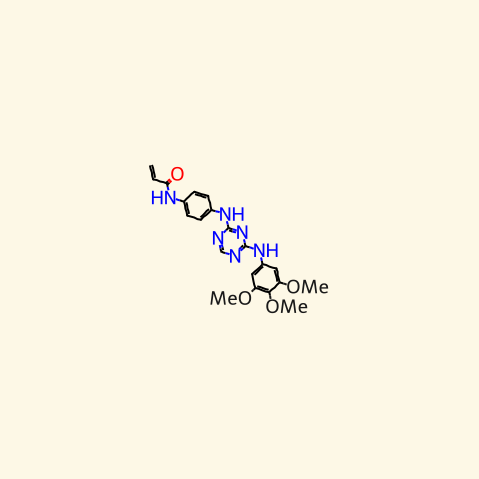 C=CC(=O)Nc1ccc(Nc2ncnc(Nc3cc(OC)c(OC)c(OC)c3)n2)cc1